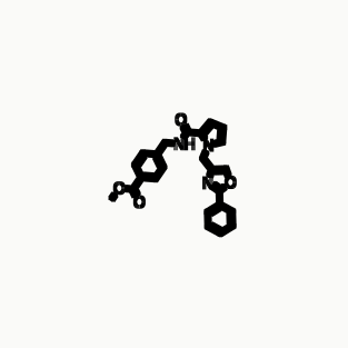 COC(=O)c1ccc(CNC(=O)c2cccn2Cc2coc(-c3ccccc3)n2)cc1